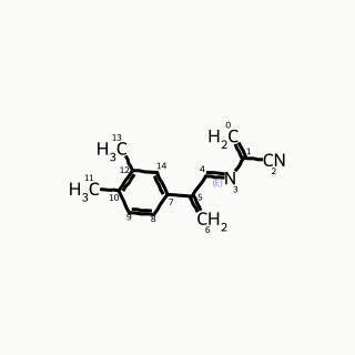 C=C(C#N)/N=C/C(=C)c1ccc(C)c(C)c1